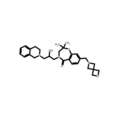 CC1(C)CN(CC(O)CN2CCc3ccccc3C2)C(=O)c2ccc(CN3CC4(COC4)C3)cc2O1